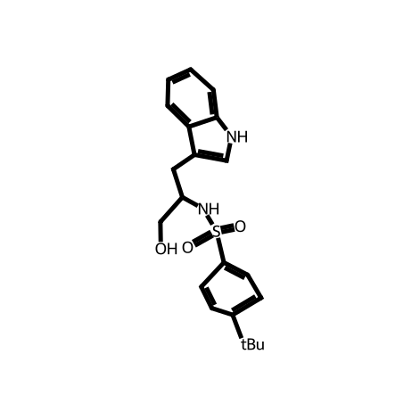 CC(C)(C)c1ccc(S(=O)(=O)NC(CO)Cc2c[nH]c3ccccc23)cc1